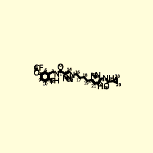 O=C(NCc1cc(OC(F)(F)F)ccc1F)c1cn(CCCCc2ccc(NC(O)C3CC3)nn2)nn1